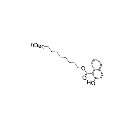 CCCCCCCCCCCCCCCCCCOC(=O)c1c(O)ccc2ccccc12